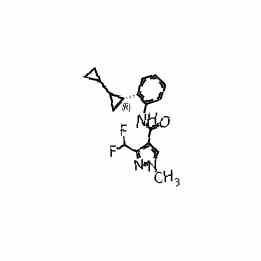 Cn1cc(C(=O)Nc2ccccc2[C@@H]2CC2C2CC2)c(C(F)F)n1